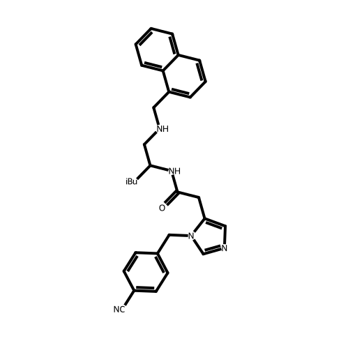 CCC(C)C(CNCc1cccc2ccccc12)NC(=O)Cc1cncn1Cc1ccc(C#N)cc1